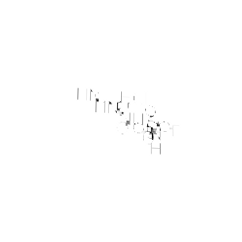 Cl.O=C(CNC(=O)c1ccc(S(=O)(=O)Nc2cc(F)ccc2Oc2ccccc2)cc1)NCC1CCNCC1